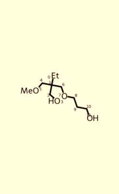 CCC(CO)(COC)COCCCO